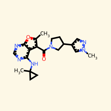 Cc1oc2ncnc(NC3(C)CC3)c2c1C(=O)N1CCC(c2cnn(C)c2)C1